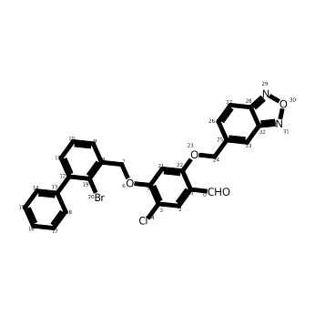 O=Cc1cc(Cl)c(OCc2cccc(-c3ccccc3)c2Br)cc1OCc1ccc2nonc2c1